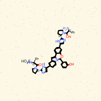 CC(C)[C@H](N)C(O)N1CCC[C@H]1c1ncc(-c2ccc3c(c2)OC(c2cccc(O)c2)n2c-3cc3cc(-c4cnc([C@@H]5CCCN5C(=O)[C@@H](NC(=O)O)C(C)C)[nH]4)ccc32)[nH]1